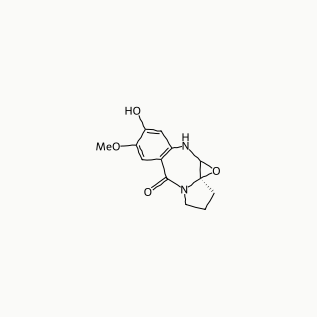 COc1cc2c(cc1O)NC1O[C@]13CCCN3C2=O